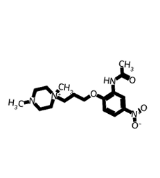 CC(=O)Nc1cc([N+](=O)[O-])ccc1OCCC[N+]1(C)CCN(C)CC1